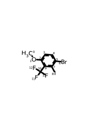 COc1ccc(Br)c(I)c1C(F)(F)F